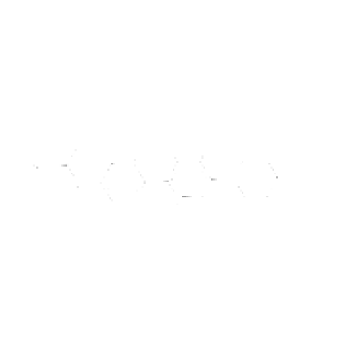 CCCCC(CC)Cc1ccc(-c2ccc(C3CCC(C)CC3)cc2)cc1